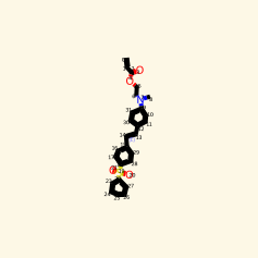 C=CC(=O)OCCN(C)c1ccc(/C=C/c2ccc(S(=O)(=O)c3ccccc3)cc2)cc1